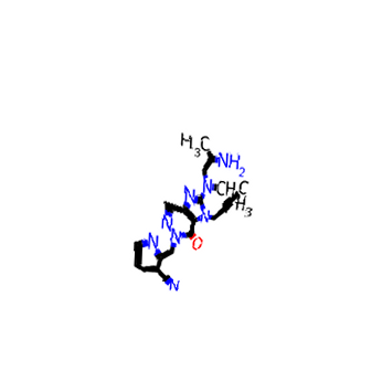 CC#CCn1c(N(C)CC(C)N)nc2cnn(Cc3ncccc3C#N)c(=O)c21